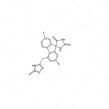 O=C1NC(=O)C2(N1)c1cc(F)ccc1-c1c(Cc3noc(=O)[nH]3)cc(F)cc12